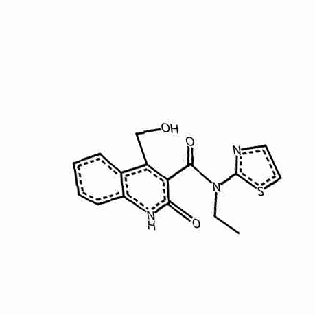 CCN(C(=O)c1c(CO)c2ccccc2[nH]c1=O)c1nccs1